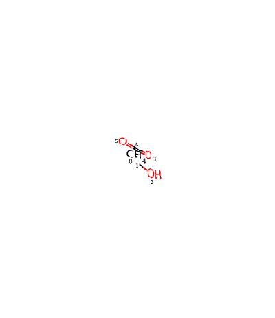 C.CO.O=C=O